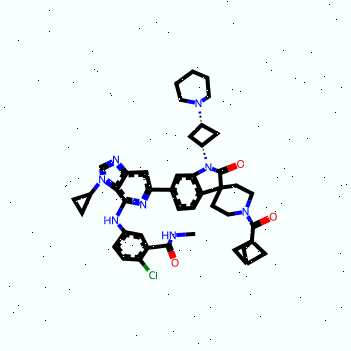 CNC(=O)c1cc(Nc2nc(-c3ccc4c(c3)N([C@H]3C[C@@H](N5CCCCC5)C3)C(=O)C43CCN(C(=O)C45CC(C4)C5)CC3)cc3ncn(C4CC4)c23)ccc1Cl